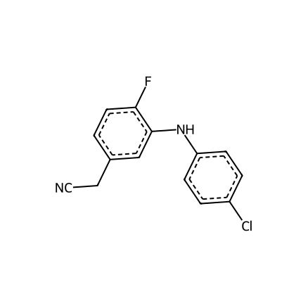 N#CCc1ccc(F)c(Nc2ccc(Cl)cc2)c1